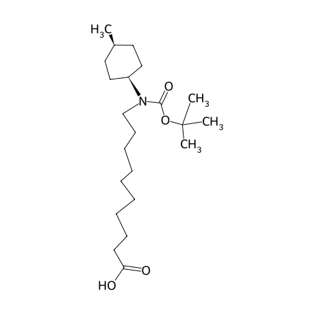 CC(C)(C)OC(=O)N(CCCCCCCCCC(=O)O)[C@H]1CC[C@@H](C)CC1